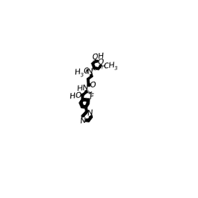 C[C@@H]1C[C@H](N(C)CCC(=O)N[C@H](CF)[C@H](O)c2ccc(-c3cnccn3)cc2)C[C@H](O)O1